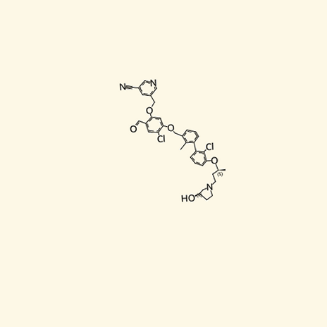 Cc1c(COc2cc(OCc3cncc(C#N)c3)c(C=O)cc2Cl)cccc1-c1cccc(O[C@@H](C)CCN2CC[C@@H](O)C2)c1Cl